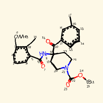 COc1cccc(C(=O)NC2(C(=O)c3cccc(C)c3)CCN(C(=O)OC(C)(C)C)CC2)c1C